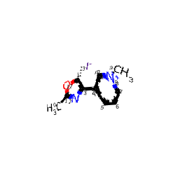 Cc1nc(-c2ccc[n+](C)c2)co1.[I-]